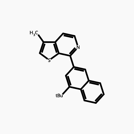 Cc1csc2c(-c3cc(C(C)(C)C)c4ccccc4c3)nccc12